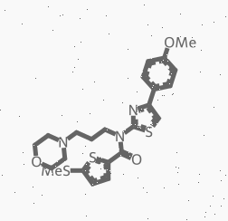 COc1ccc(-c2csc(N(CCCN3CCOCC3)C(=O)c3ccc(SC)s3)n2)cc1